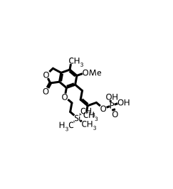 COc1c(C)c2c(c(OCC[Si](C)(C)C)c1CC=C(C)COP(=O)(O)O)C(=O)OC2